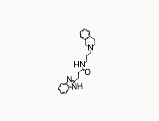 O=C(CCc1nc2ccccc2[nH]1)NCCCN1CCc2ccccc2C1